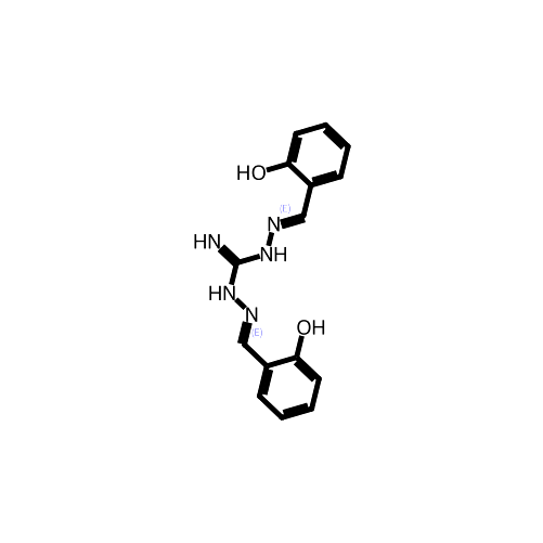 N=C(N/N=C/c1ccccc1O)N/N=C/c1ccccc1O